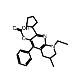 CCN1CC(C)Cc2c1nc(C1CCCC1)c(OC(=O)O)c2-c1ccccc1